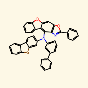 c1ccc(-c2cccc(N(c3ccc4c(c3)sc3ccccc34)c3c4nc(-c5ccccc5)oc4cc4oc5ccccc5c34)c2)cc1